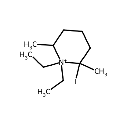 CC[N+]1(CC)C(C)CCCC1(C)I